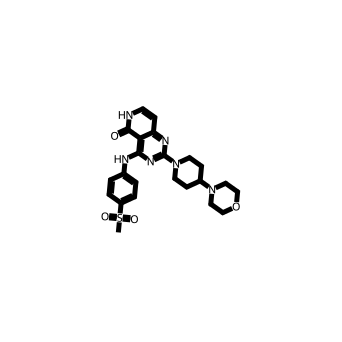 CS(=O)(=O)c1ccc(Nc2nc(N3CCC(N4CCOCC4)CC3)nc3cc[nH]c(=O)c23)cc1